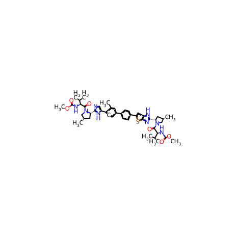 COC(=O)N[C@H](C(=O)N1C[C@@H](C)C[C@H]1c1ncc(-c2ccc(-c3ccc(-c4cc5[nH]c([C@@H]6C[C@H](C)CN6C(=O)[C@@H](NC(=O)OC)C(C)C)nc5s4)cc3)cc2C)[nH]1)C(C)C